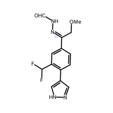 COC/C(=N\NC=O)c1ccc(-c2cn[nH]c2)c(C(F)F)c1